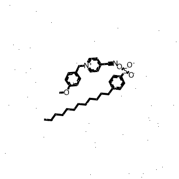 CCCCCCCCCCCCc1ccc(S(=O)(=O)[O-])cc1.COc1ccc(C[n+]2ccc(C#N)cc2)cc1